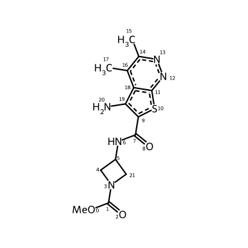 COC(=O)N1CC(NC(=O)c2sc3nnc(C)c(C)c3c2N)C1